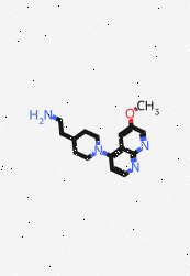 COc1cnc2nccc(N3CCC(CCN)CC3)c2c1